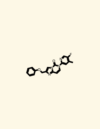 Cc1cc(-n2ccc3nc(COc4ccccc4)cn3c2=O)ncc1F